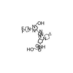 O=S(=O)(CCO)Nc1ccc(-n2cc(-c3cc(CO)nc(N4CCC(F)(F)CC4)n3)nn2)c(N2CCC3(CC2)CC3)c1